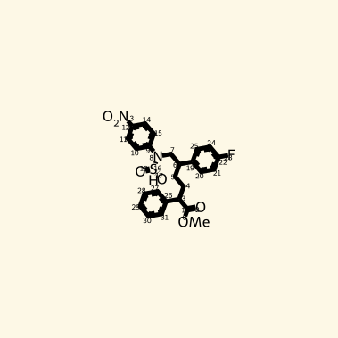 COC(=O)C(CCC(CN(c1ccc([N+](=O)[O-])cc1)[SH](=O)=O)c1ccc(F)cc1)c1ccccc1